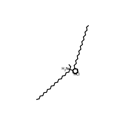 CCCCCCCCCCCCCCCCCCc1ccccc1C(N)(CC)CCCCCCCCCCCCCCCCCC.Cl